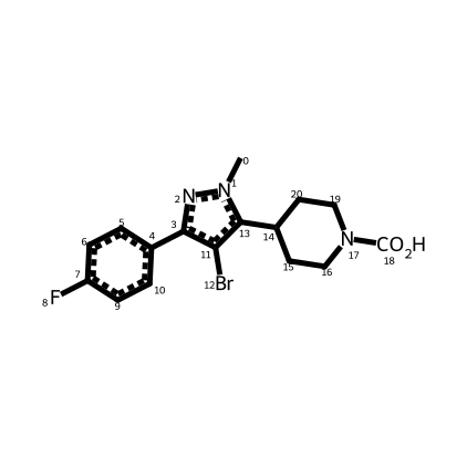 Cn1nc(-c2ccc(F)cc2)c(Br)c1C1CCN(C(=O)O)CC1